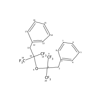 FC(F)(F)C(Cc1ccccc1)(OC(Cc1ccccc1)(C(F)(F)F)C(F)(F)F)C(F)(F)F